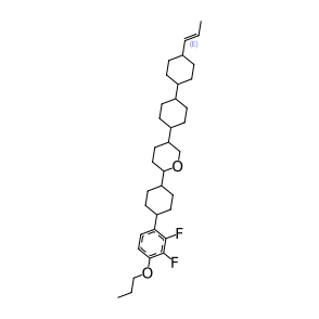 C/C=C/C1CCC(C2CCC(C3CCC(C4CCC(c5ccc(OCCC)c(F)c5F)CC4)OC3)CC2)CC1